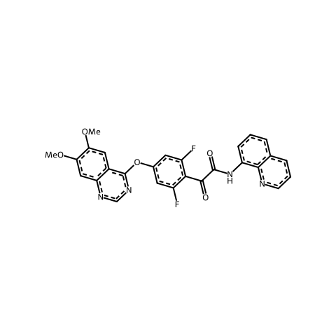 COc1cc2ncnc(Oc3cc(F)c(C(=O)C(=O)Nc4cccc5cccnc45)c(F)c3)c2cc1OC